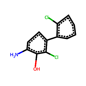 Nc1ccc(-c2ccccc2Cl)c(Cl)c1O